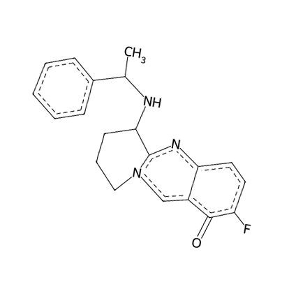 CC(NC1CCCn2cc3c(=O)c(F)ccc-3nc21)c1ccccc1